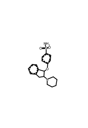 NS(=O)(=O)c1ccc(OC2c3ccccc3CC2N2CCCCC2)cc1